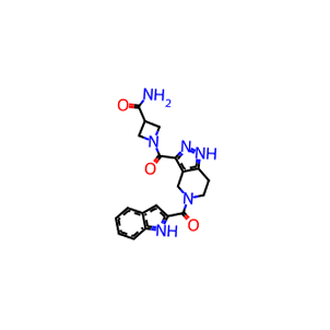 NC(=O)C1CN(C(=O)c2n[nH]c3c2CN(C(=O)c2cc4ccccc4[nH]2)CC3)C1